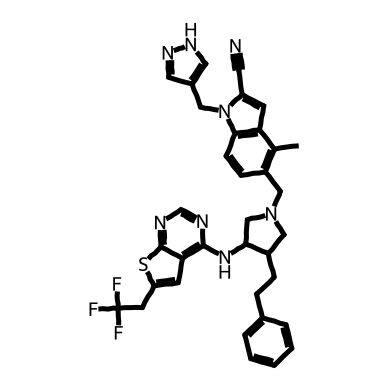 Cc1c(CN2CC(CCc3ccccc3)C(Nc3ncnc4sc(CC(F)(F)F)cc34)C2)ccc2c1cc(C#N)n2Cc1cn[nH]c1